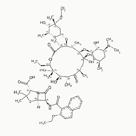 CCOc1ccc2ccccc2c1C(=O)N[C@@H]1C(=O)N2[C@@H]1SC(C)(C)[C@@H]2C(=O)O.CC[C@H]1OC(=O)[C@H](C)[C@@H](O[C@H]2C[C@@](C)(OC)[C@@H](O)[C@H](C)O2)[C@H](C)[C@@H](O[C@@H]2O[C@H](C)C[C@H](N(C)C)[C@H]2O)[C@](C)(O)C[C@@H](C)C(=O)[C@H](C)[C@@H](O)[C@]1(C)O